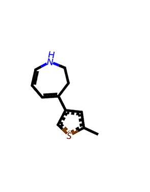 Cc1cc(C2=CC=CNCC2)cs1